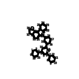 c1ccc(-c2cc(-c3ccccc3)nc(-c3cccc(-n4c5ccccc5c5c6occc6ccc54)c3)c2)cc1